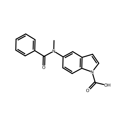 CN(C(=O)c1ccccc1)c1ccc2c(ccn2C(=O)O)c1